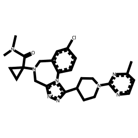 Cc1ccnc(N2CCC(c3nnc4n3-c3ccc(Cl)cc3CN(C3(C(=O)N(C)C)CC3)C4)CC2)n1